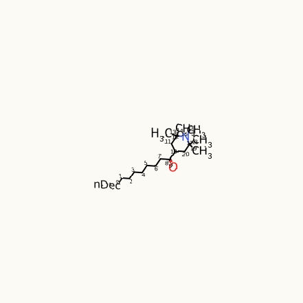 CCCCCCCCCCCCCCCCCC(=O)C1CC(C)(C)N(C)C(C)(C)C1